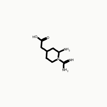 N=C(N)N1CCC(CC(=O)O)CC1N